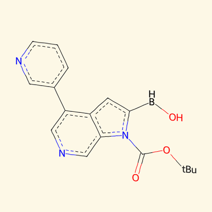 CC(C)(C)OC(=O)n1c(BO)cc2c(-c3cccnc3)cncc21